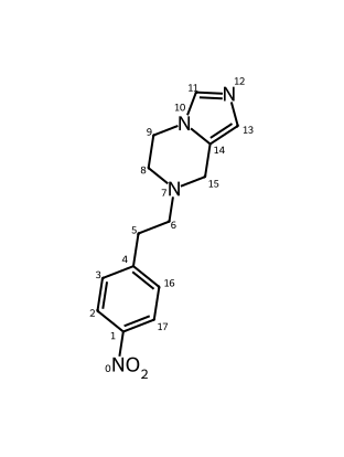 O=[N+]([O-])c1ccc(CCN2CCn3cncc3C2)cc1